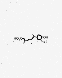 CC(C=CC=C(C)c1ccc(O)c(C(C)(C)C)c1)=CC(=O)O